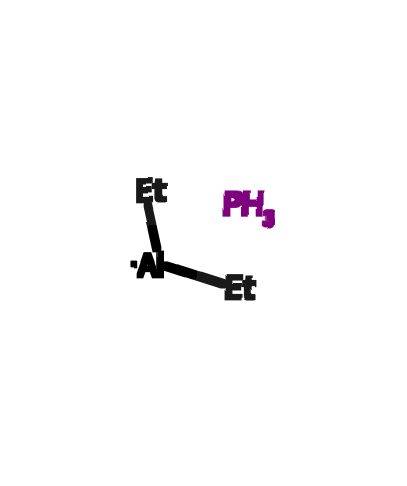 C[CH2][Al][CH2]C.P